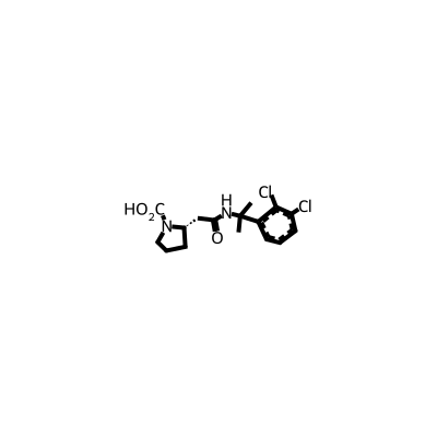 CC(C)(NC(=O)C[C@@H]1CCCN1C(=O)O)c1cccc(Cl)c1Cl